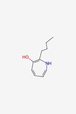 CCCCC1=C(O)C=CC=CN1